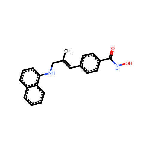 CC(=Cc1ccc(C(=O)NO)cc1)CNc1cccc2ccccc12